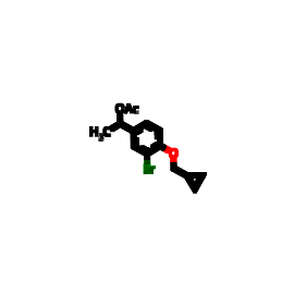 CC(=O)OC(C)c1ccc(OCC2CC2)c(Br)c1